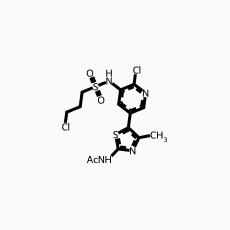 CC(=O)Nc1nc(C)c(-c2cnc(Cl)c(NS(=O)(=O)CCCCl)c2)s1